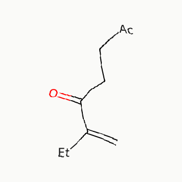 C=C(CC)C(=O)CCC(C)=O